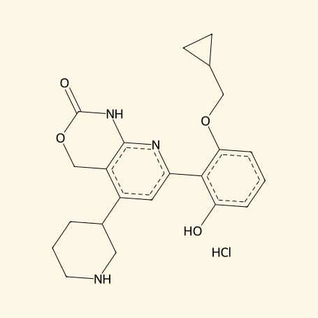 Cl.O=C1Nc2nc(-c3c(O)cccc3OCC3CC3)cc(C3CCCNC3)c2CO1